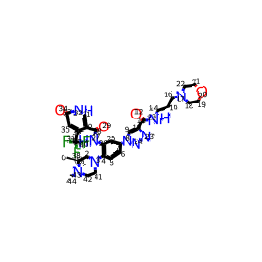 C[C@H]1CN(c2ccc(-n3cc(C(=O)NCCCN4CCOCC4)nn3)cc2NC(=O)c2c[nH]c(=O)cc2C(F)(F)F)CCN1C